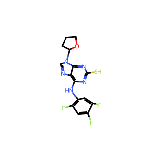 Fc1cc(F)c(Nc2nc(S)nc3c2ncn3C2CCCO2)cc1F